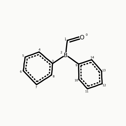 O=[C]B(c1ccccc1)c1ccccc1